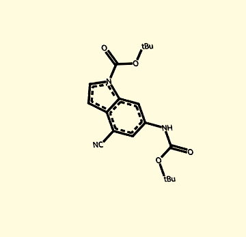 CC(C)(C)OC(=O)Nc1cc(C#N)c2ccn(C(=O)OC(C)(C)C)c2c1